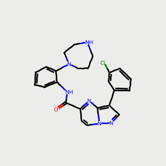 O=C(Nc1ccccc1N1CCCNCC1)c1ccn2ncc(-c3cccc(Cl)c3)c2n1